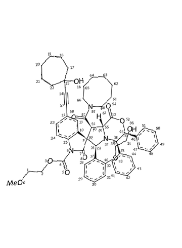 COCCOC(=O)N1C(=O)[C@@]2(c3cc(C#CC4(O)CCCCCC4)ccc31)[C@H](c1ccccc1OCCO)N1[C@H](c3ccccc3)[C@H](c3ccccc3)OC(=O)[C@H]1[C@@H]2C(=O)N1CCCCCCC1